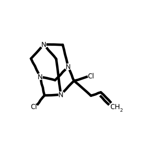 C=CCC1(Cl)N2CN3CN(C2)C(Cl)N1C3